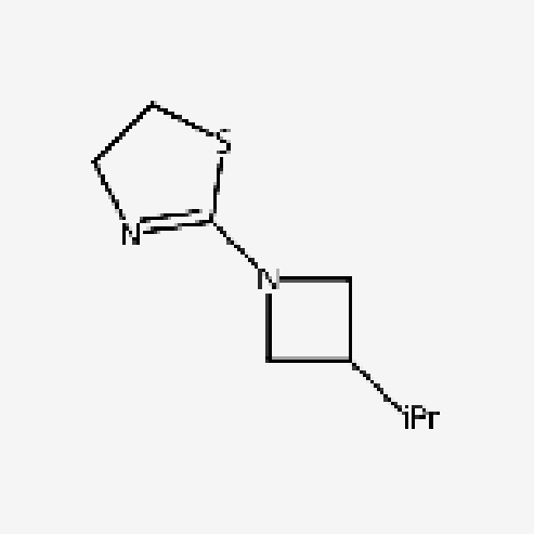 CC(C)C1CN(C2=NCCS2)C1